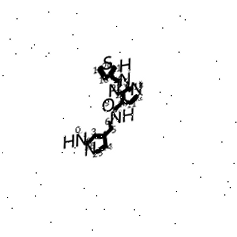 CNc1cc(CCNC(=O)c2ccnc3[nH]c(-c4ccsc4)nc23)ccn1